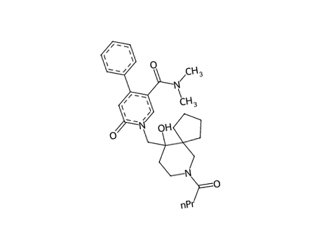 CCCC(=O)N1CCC(O)(Cn2cc(C(=O)N(C)C)c(-c3ccccc3)cc2=O)C2(CCCC2)C1